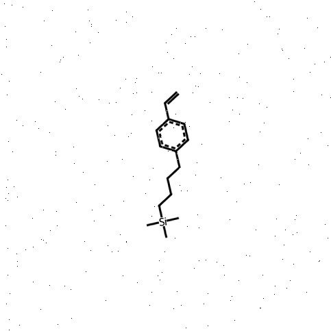 C=Cc1ccc(CCCC[Si](C)(C)C)cc1